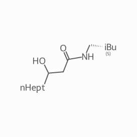 CCCCCCCC(O)CC(=O)NC[C@@H](C)CC